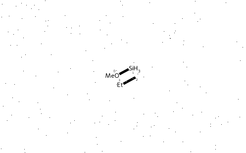 CO[SiH3].C[CH]C